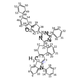 CC1=C(/C=C2\Cc3ccccc3N2c2ccccc2)c2ccccc2C(c2nc(-c3ccccc3)nc(-c3ccc4c(c3)oc3ccc(-c5ccccc5)cc34)n2)CC1